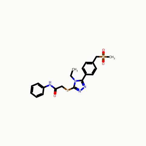 CCn1c(SCC(=O)Nc2ccccc2)nnc1-c1ccc(CS(C)(=O)=O)cc1